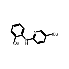 CC(C)(C)c1ccc(Nc2ccccc2C(C)(C)C)nc1